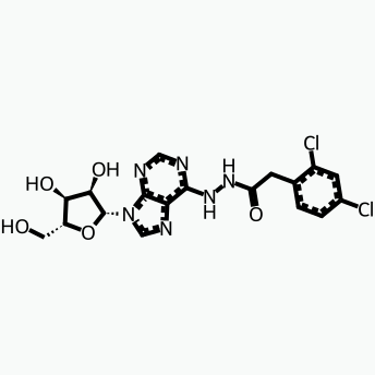 O=C(Cc1ccc(Cl)cc1Cl)NNc1ncnc2c1ncn2[C@@H]1O[C@H](CO)[C@@H](O)[C@H]1O